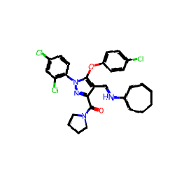 O=C(c1nn(-c2ccc(Cl)cc2Cl)c(Oc2ccc(Cl)cc2)c1CNC1CCCCCC1)N1CCCC1